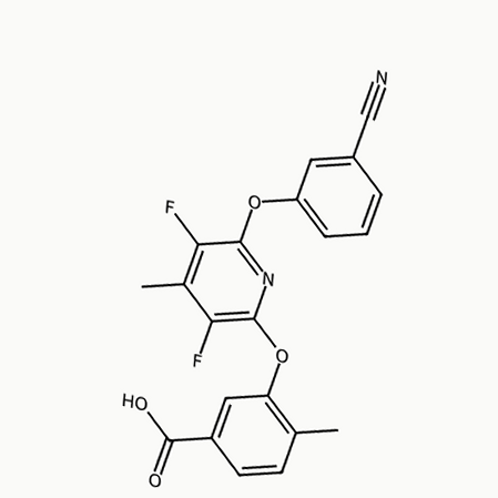 Cc1ccc(C(=O)O)cc1Oc1nc(Oc2cccc(C#N)c2)c(F)c(C)c1F